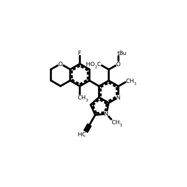 C#Cc1cc2c(-c3cc(F)c4c(c3C)CCCO4)c(C(OC(C)(C)C)C(=O)O)c(C)nc2n1C